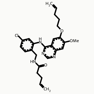 C=CC[CH]C(=O)NCc1ccc(Cl)cc1Nc1ncnc2cc(OC)c(OCCCC=C)cc12